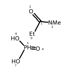 CCC(=O)NC.O=[PH](O)O